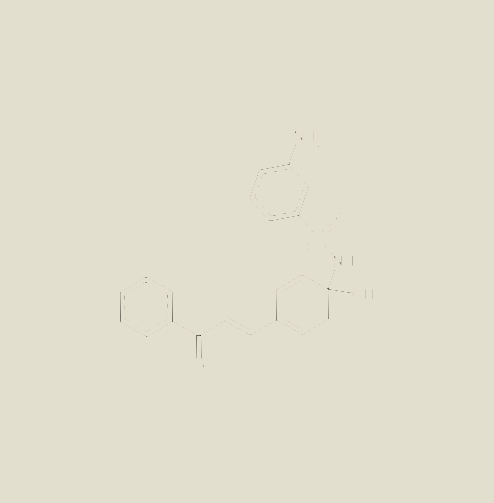 Nc1cccc(S(=O)(=O)NC2(O)C=CC(C=CC(=O)c3ccccc3)=CC2)c1